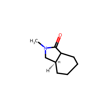 CN1C[C@@H]2CCCCC2C1=O